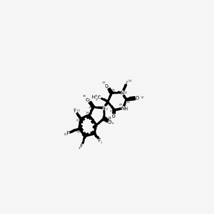 CC1(N2C(=O)c3c(F)c(F)c(F)c(F)c3C2=O)C(=O)NC(=O)N(I)C1=O